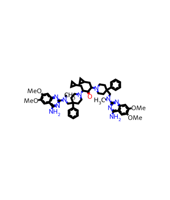 COc1cc2nc(N(C)CC3(c4ccccc4)CCN(C(CC4CC4)C(=O)C(CC4CC4)N4CCC(CN(C)c5nc(N)c6cc(OC)c(OC)cc6n5)(c5ccccc5)CC4)CC3)nc(N)c2cc1OC